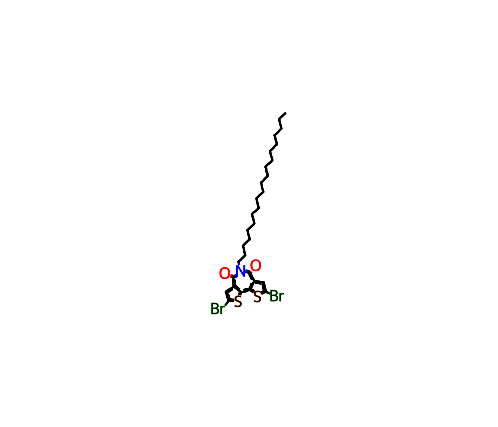 CCCCCCCCCCCCCCCCCCCCn1c(=O)c2cc(Br)sc2c2sc(Br)cc2c1=O